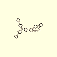 O=C1c2ccccc2-c2ccc3c([nH]c4ccc(-c5ccc(N(c6ccc(-c7ccccc7)cc6)c6ccc(-c7ccccc7)cc6)cc5)cc43)c21